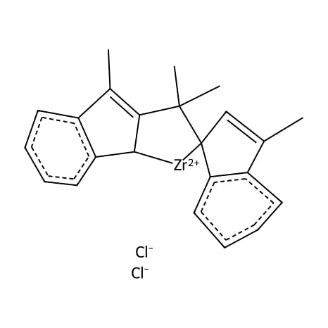 CC1=C[C]2([Zr+2][CH]3C(=C(C)c4ccccc43)C2(C)C)c2ccccc21.[Cl-].[Cl-]